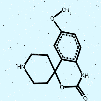 COc1ccc2c(c1)C1(CCNCC1)OC(=O)N2